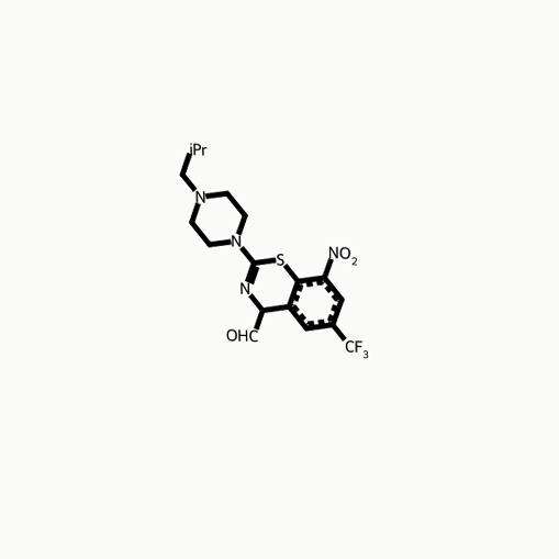 CC(C)CN1CCN(C2=NC(C=O)c3cc(C(F)(F)F)cc([N+](=O)[O-])c3S2)CC1